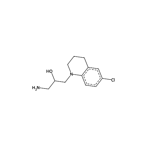 NCC(O)CN1CCCc2cc(Cl)ccc21